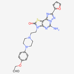 Nc1nc2c(sc(=O)n2CCN2CCN(c3ccc(OCC=O)cc3)CC2)c2nc(-c3ccco3)nn12